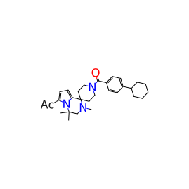 CC(=O)c1ccc2n1C(C)(C)CN(C)C21CCN(C(=O)c2ccc(C3CCCCC3)cc2)CC1